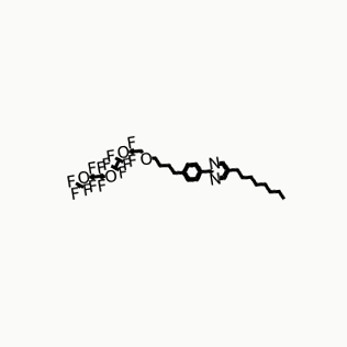 CCCCCCCCc1cnc(-c2ccc(CCCCOCC(F)(F)OC(F)(F)C(F)(F)OC(F)(F)C(F)(F)OC(F)(F)F)cc2)nc1